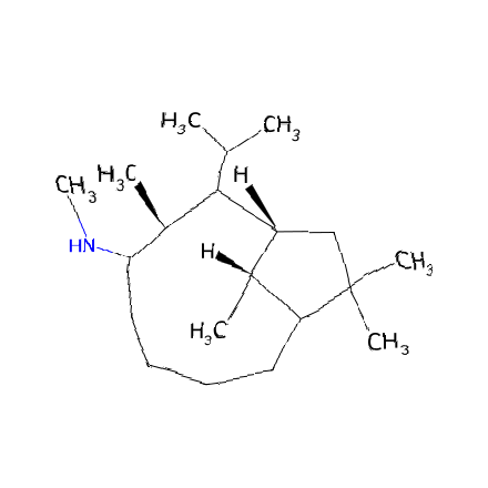 CNC1CCCCC2[C@H](C)[C@@H](CC2(C)C)C(C(C)C)[C@@H]1C